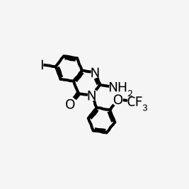 Nc1nc2ccc(I)cc2c(=O)n1-c1ccccc1OC(F)(F)F